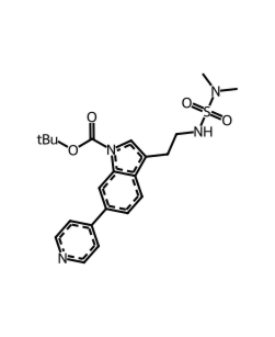 CN(C)S(=O)(=O)NCCc1cn(C(=O)OC(C)(C)C)c2cc(-c3ccncc3)ccc12